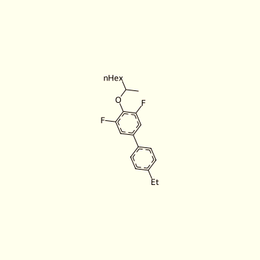 CCCCCCC(C)Oc1c(F)cc(-c2ccc(CC)cc2)cc1F